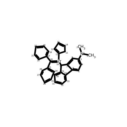 CN(C)c1ccc2c(c1)[CH]([Zr]([C]1=CC=CC1)=[C](c1ccccc1)c1ccccc1)c1ccccc1-2